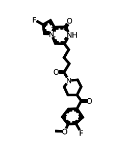 COc1ccc(C(=O)C2CCN(C(=O)CCCc3cn4cc(F)cc4c(=O)[nH]3)CC2)cc1F